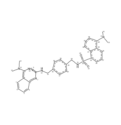 C=C(/N=C1/C=CC=C/C1=C(/N)N(C)C)NCc1ccc(CNS(=O)(=O)c2cccc3c(N(C)C)cccc23)cc1